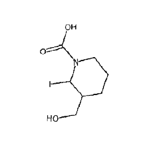 O=C(O)N1CCCC(CO)C1I